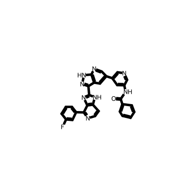 O=C(Nc1cncc(-c2cnc3[nH]nc(-c4nc5c(-c6cccc(F)c6)nccc5[nH]4)c3c2)c1)c1ccccc1